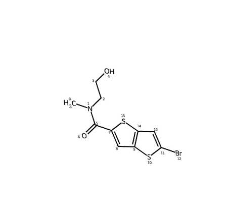 CN(CCO)C(=O)c1cc2sc(Br)cc2s1